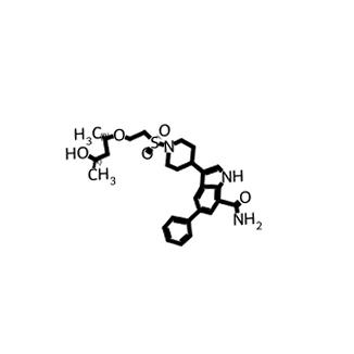 C[C@H](C[C@@H](C)O)OCCS(=O)(=O)N1CCC(c2c[nH]c3c(C(N)=O)cc(-c4ccccc4)cc23)CC1